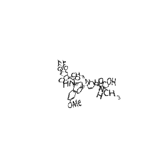 COc1ccc2c(c1)O[C@@H](c1ccc(C(=O)NC(C)(C)CO)cn1)C[C@H]2NC(=O)[C@@]1(C)COc2cc3c(cc21)OC(F)(F)O3